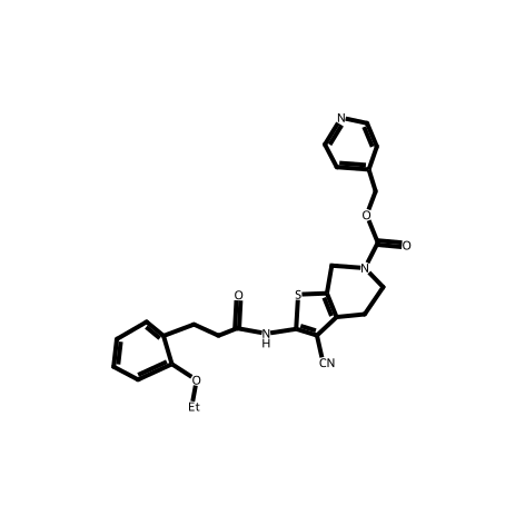 CCOc1ccccc1CCC(=O)Nc1sc2c(c1C#N)CCN(C(=O)OCc1ccncc1)C2